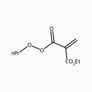 C=C(C(=O)OCC)C(=O)OOCCC